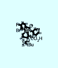 C[C@H]1CNC[C@@H](N(C(=O)O)c2ccncc2NC(=O)c2ccc(F)c(Br)n2)[C@@H]1O[Si](C)(C)C(C)(C)C